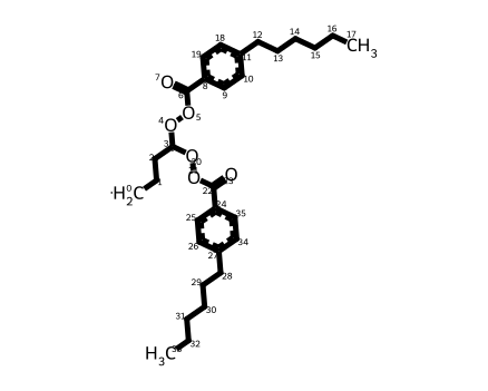 [CH2]CC[C](OOC(=O)c1ccc(CCCCCC)cc1)OOC(=O)c1ccc(CCCCCC)cc1